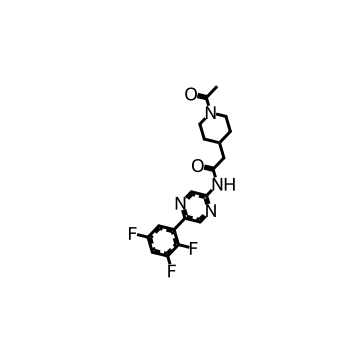 CC(=O)N1CCC(CC(=O)Nc2cnc(-c3cc(F)cc(F)c3F)cn2)CC1